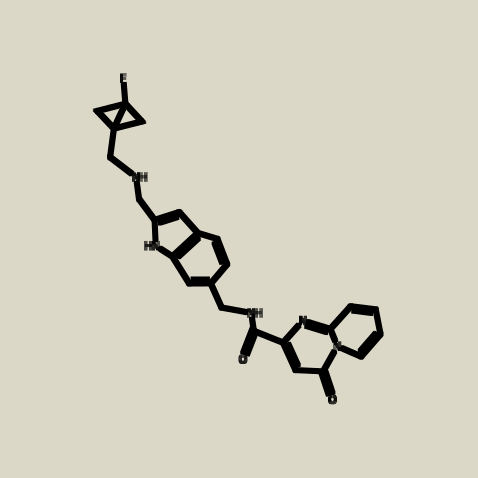 O=C(NCc1ccc2cc(CNCC34CC3(F)C4)[nH]c2c1)c1cc(=O)n2ccccc2n1